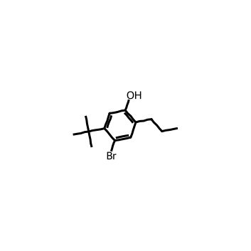 CCCc1cc(Br)c(C(C)(C)C)cc1O